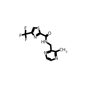 Cc1nccnc1CNC(=O)c1nc(C(F)(F)F)cs1